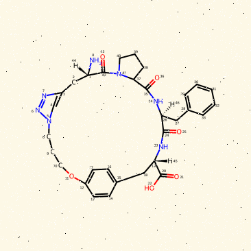 N[C@H]1Cc2cn(nn2)CCCOc2ccc(cc2)C[C@@H](C(=O)O)NC(=O)[C@H](Cc2ccccc2)NC(=O)C2CCCN2C1=O